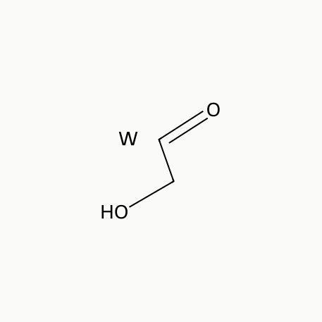 O=CCO.[W]